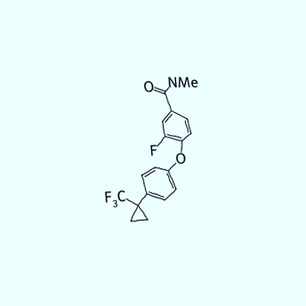 CNC(=O)c1ccc(Oc2ccc(C3(C(F)(F)F)CC3)cc2)c(F)c1